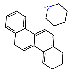 C1=c2c(ccc3c2=CCc2ccccc2-3)CCC1.C1CCNCC1